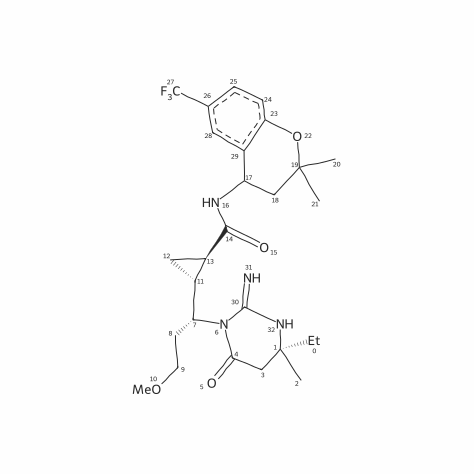 CC[C@]1(C)CC(=O)N([C@H](CCOC)[C@@H]2C[C@H]2C(=O)NC2CC(C)(C)Oc3ccc(C(F)(F)F)cc32)C(=N)N1